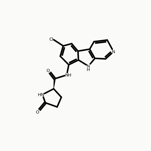 O=C1CC[C@H](C(=O)Nc2cc(Cl)cc3c2[nH]c2cnccc23)N1